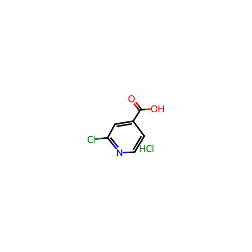 Cl.O=C(O)c1ccnc(Cl)c1